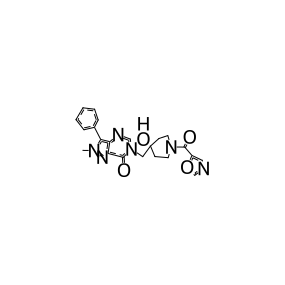 Cn1nc2c(=O)n(CC3(O)CCN(C(=O)c4cnco4)CC3)cnc2c1-c1ccccc1